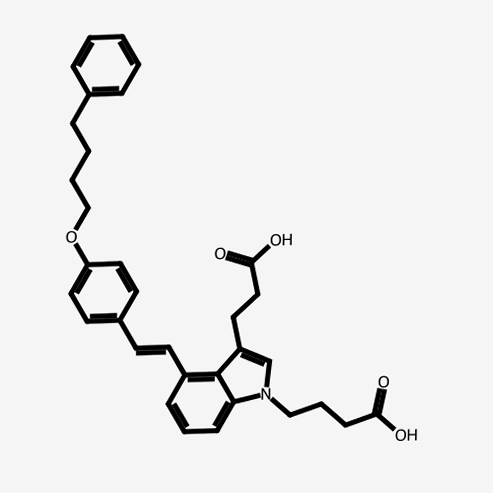 O=C(O)CCCn1cc(CCC(=O)O)c2c(C=Cc3ccc(OCCCCc4ccccc4)cc3)cccc21